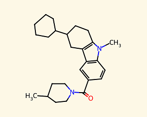 CC1CCN(C(=O)c2ccc3c(c2)c2c(n3C)CCC(C3CCCCC3)C2)CC1